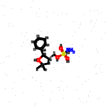 CC1(C)C[C@@H](COS(N)(=O)=O)[C@H](c2ccccc2)O1